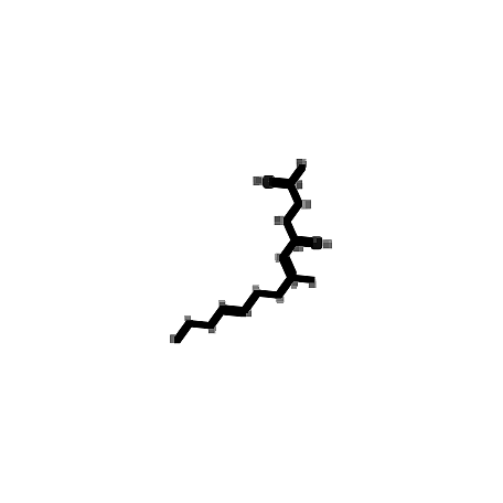 CCCC=CCCC(C)=CC(=O)CCC(C)=O